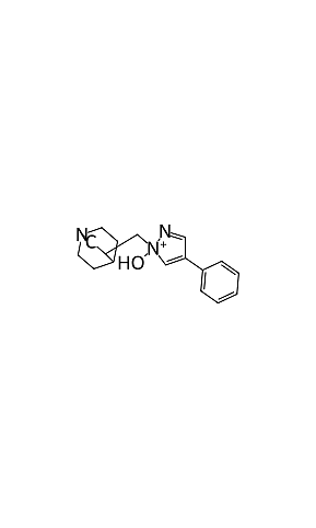 O[N+]1(CC2CN3CCC2CC3)C=C(c2ccccc2)C=N1